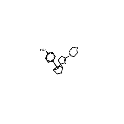 Oc1ccc(C2C3CCC(CC3)C23CCC(N2CCOCC2)=N3)cc1